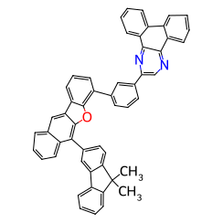 CC1(C)c2ccccc2-c2cc(-c3c4ccccc4cc4c3oc3c(-c5cccc(-c6cnc7c8ccccc8c8ccccc8c7n6)c5)cccc34)ccc21